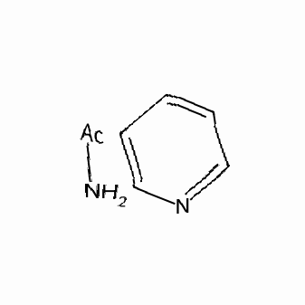 CC(N)=O.c1ccncc1